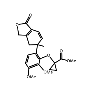 COC(=O)C1(Oc2c(C3(C)C=CC4=C(COC4=O)C3)ccc(OC)c2OC)CC1